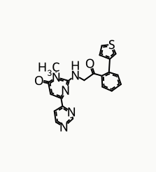 Cn1c(NCC(=O)c2ccccc2-c2ccsc2)nc(-c2ccncn2)cc1=O